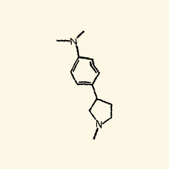 CN1CCC(c2ccc(N(C)C)cc2)C1